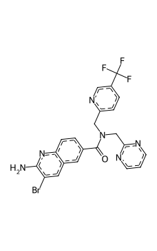 Nc1nc2ccc(C(=O)N(Cc3ccc(C(F)(F)F)cn3)Cc3ncccn3)cc2cc1Br